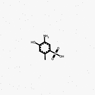 Cc1cc(O)c(N)cc1S(=O)(=O)O